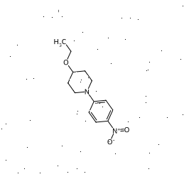 CCOC1CCN(c2ccc([N+](=O)[O-])cc2)CC1